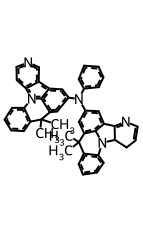 CC1(C)c2ccccc2N2c3c(cc(N(c4ccccc4)c4cc5c6c(c4)c4cnccc4n6-c4ccccc4C5(C)C)cc31)C1=NC=CCC12